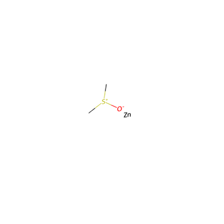 C[S+](C)[O-].[Zn]